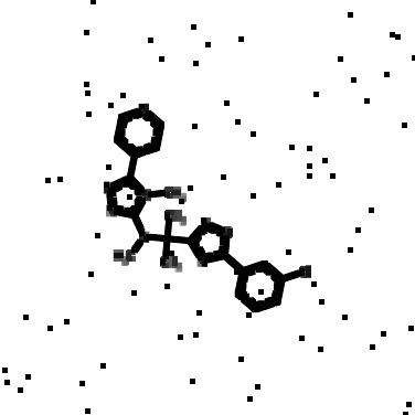 CN(c1nnc(-c2ccncc2)n1C)C(C)(C)c1noc(-c2cccc(Cl)c2)n1